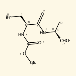 CC(C)C[C@H](NC(=O)OC(C)(C)C)C(=O)N[C@@H](C)[C]=O